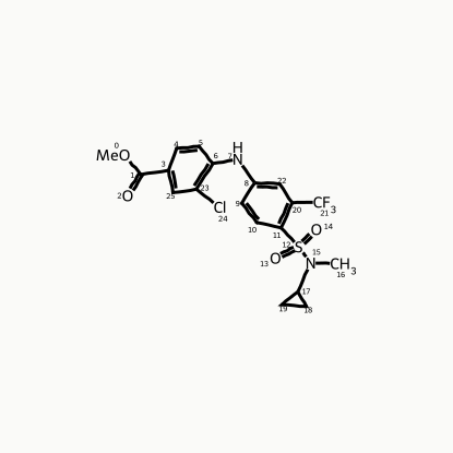 COC(=O)c1ccc(Nc2ccc(S(=O)(=O)N(C)C3CC3)c(C(F)(F)F)c2)c(Cl)c1